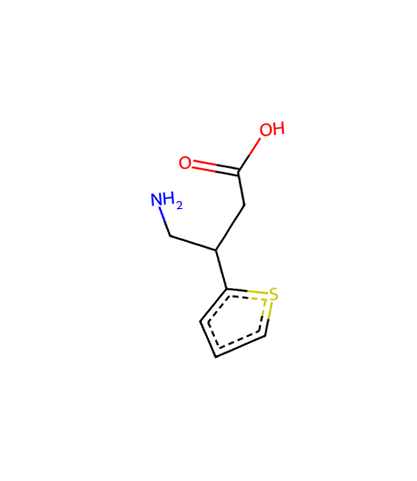 NCC(CC(=O)O)c1cccs1